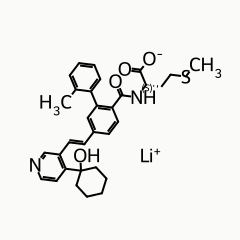 CSCC[C@H](NC(=O)c1ccc(C=Cc2cnccc2C2(O)CCCCC2)cc1-c1ccccc1C)C(=O)[O-].[Li+]